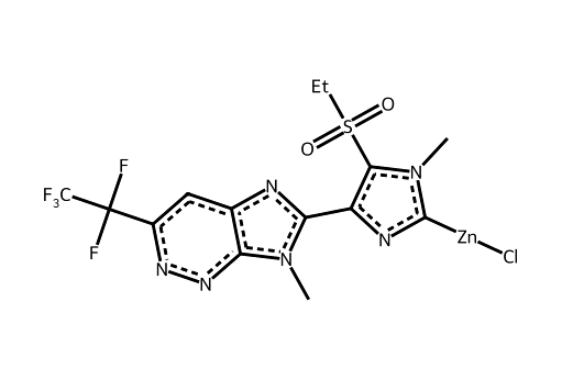 CCS(=O)(=O)c1c(-c2nc3cc(C(F)(F)C(F)(F)F)nnc3n2C)n[c]([Zn][Cl])n1C